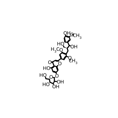 COc1cc(C(O)[C@H](CO)Cc2c(OC)cc(-c3cc(=O)c4c(O)cc(O[C@@H]5OC(CO)[C@@H](O)C(O)C5O)cc4o3)cc2OC)ccc1O